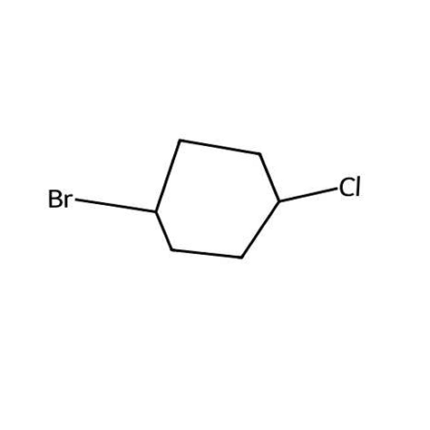 ClC1CCC(Br)CC1